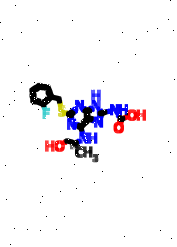 C[C@H](CO)Nc1nc(SCc2ccccc2F)nc2[nH]c(NC(=O)O)nc12